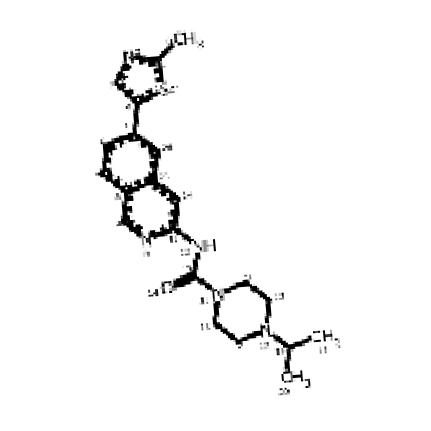 Cc1ncc(-c2ccc3cnc(NC(=O)N4CCN(C(C)C)CC4)cc3c2)s1